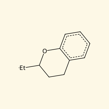 C[CH]C1CCc2ccccc2O1